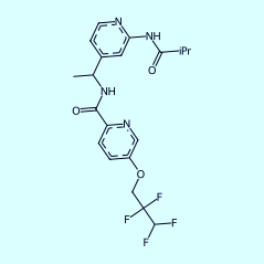 CC(C)C(=O)Nc1cc(C(C)NC(=O)c2ccc(OCC(F)(F)C(F)F)cn2)ccn1